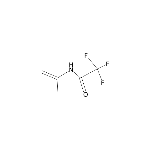 C=C(C)NC(=O)C(F)(F)F